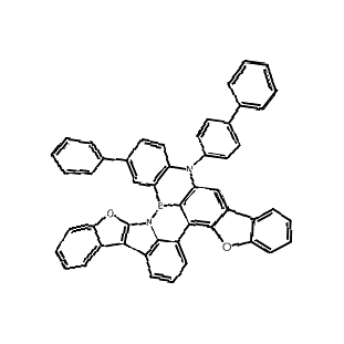 c1ccc(-c2ccc(N3c4ccc(-c5ccccc5)cc4B4c5c3cc3c(oc6ccccc63)c5-c3cccc5c6c7ccccc7oc6n4c35)cc2)cc1